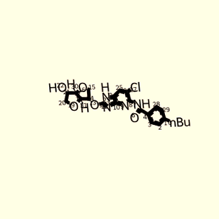 CCCCc1ccc(C(=O)Nc2nc3nc(O[C@@H]4CO[C@H]5[C@@H]4OC[C@H]5O)[nH]c3cc2Cl)cc1